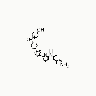 C=C(/C=C(C)\C=C/N)Nc1cccc(-c2cnc([C@H]3CC[C@H](C(=O)N4CCC(O)CC4)CC3)s2)n1